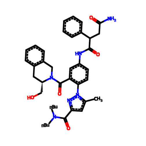 CCCCN(CCCC)C(=O)c1cc(C)n(-c2ccc(NC(=O)C(CC(N)=O)c3ccccc3)cc2C(=O)N2Cc3ccccc3C[C@H]2CO)n1